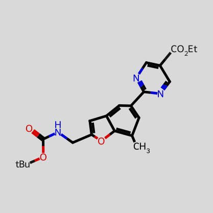 CCOC(=O)c1cnc(-c2cc(C)c3oc(CNC(=O)OC(C)(C)C)cc3c2)nc1